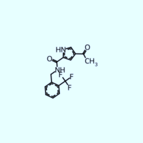 CC(=O)c1c[nH]c(C(=O)NCc2ccccc2C(F)(F)F)c1